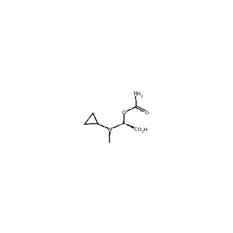 CN(C1CC1)[C@@H](OC(N)=O)C(=O)O